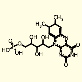 CC1C=c2nc3c(=O)[nH]c(=O)nc-3n(CC(O)C(O)C(O)COP(=O)(O)O)c2=CC1C